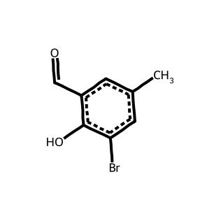 Cc1cc(Br)c(O)c(C=O)c1